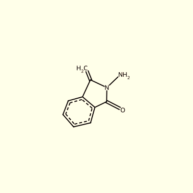 C=C1c2ccccc2C(=O)N1N